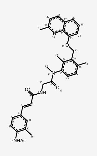 CC(=O)Nc1ccc(C=CC(=O)NCC(=O)N(C)c2ccc(C)c(COc3cccc4ccc(C)nc34)c2C)cc1C